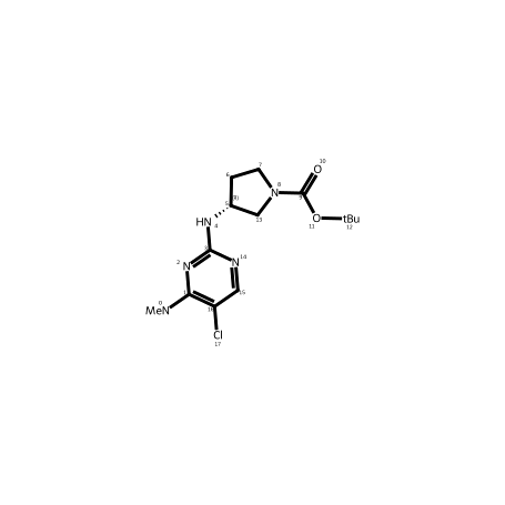 CNc1nc(N[C@@H]2CCN(C(=O)OC(C)(C)C)C2)ncc1Cl